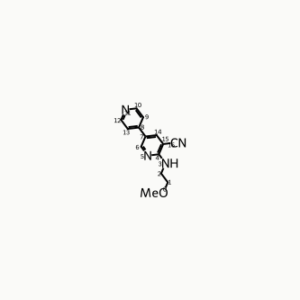 COCCNc1ncc(-c2ccncc2)cc1C#N